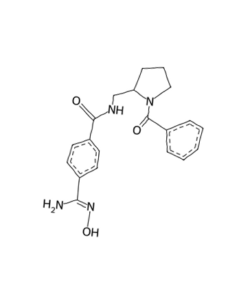 N/C(=N\O)c1ccc(C(=O)NCC2CCCN2C(=O)c2ccccc2)cc1